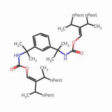 CCCCCC(C)C(=COC(=O)NC(C)(C)c1cccc(C(C)(C)NC(=O)OC=C(C(C)CCCCC)C(C)CCCCC)c1)C(C)CCCCC